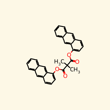 CC(C)(C(=O)Oc1cccc2cc3ccccc3cc12)C(=O)Oc1cccc2cc3ccccc3cc12